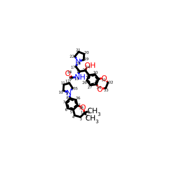 CC1(C)CCc2ccc(N3CC[C@H](C(=O)NC(CN4CCCC4)C(O)c4ccc5c(c4)OCCO5)C3)cc2O1